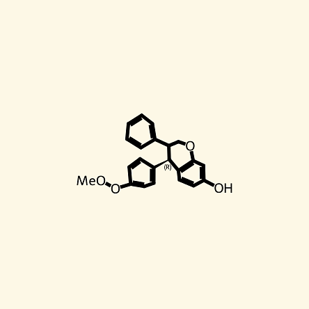 COOc1ccc([C@@H]2c3ccc(O)cc3OCC2c2ccccc2)cc1